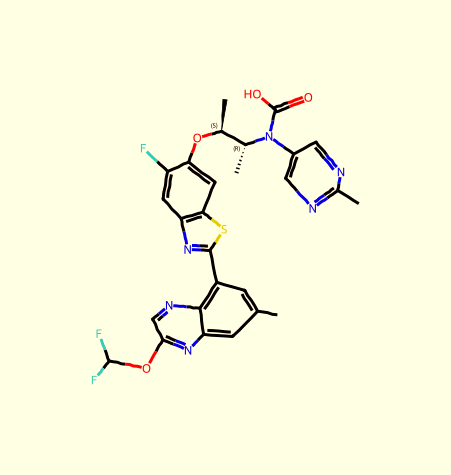 Cc1cc(-c2nc3cc(F)c(O[C@@H](C)[C@@H](C)N(C(=O)O)c4cnc(C)nc4)cc3s2)c2ncc(OC(F)F)nc2c1